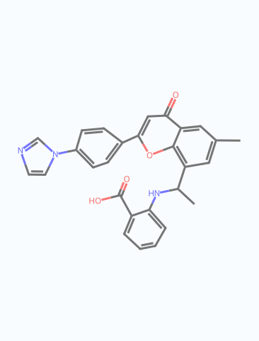 Cc1cc(C(C)Nc2ccccc2C(=O)O)c2oc(-c3ccc(-n4ccnc4)cc3)cc(=O)c2c1